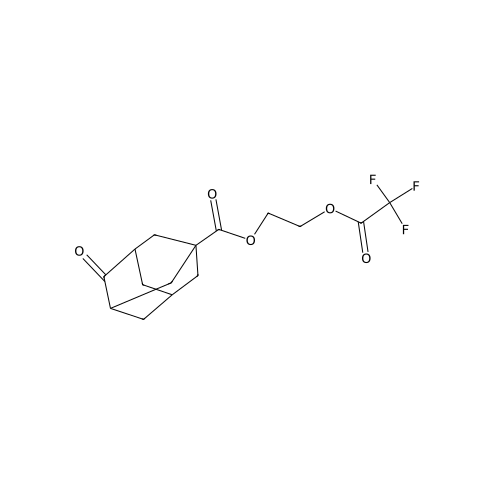 O=C1C2CC3CC1CC(C(=O)OCCOC(=O)C(F)(F)F)(C3)C2